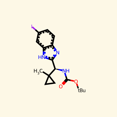 CC(C)(C)OC(=O)N[C@H](c1nc2ccc(I)cc2[nH]1)C1(C)CC1